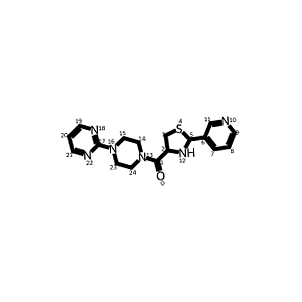 O=C(C1CSC(c2cccnc2)N1)N1CCN(c2ncccn2)CC1